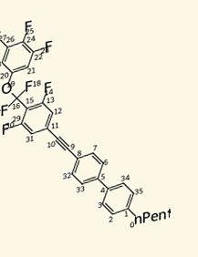 CCCCCc1ccc(-c2ccc(C#Cc3cc(F)c(C(F)(F)Oc4cc(F)c(F)c(F)c4)c(F)c3)cc2)cc1